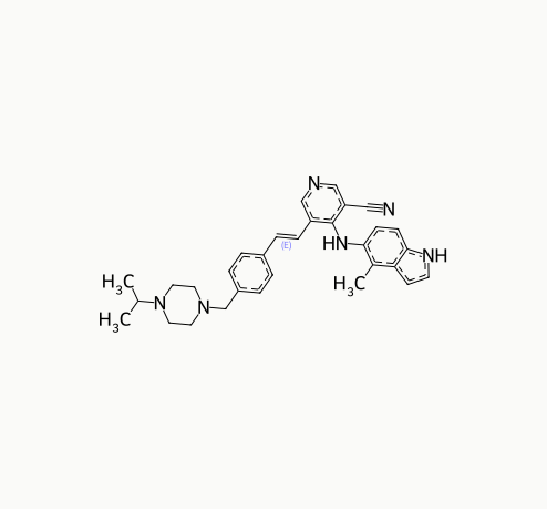 Cc1c(Nc2c(C#N)cncc2/C=C/c2ccc(CN3CCN(C(C)C)CC3)cc2)ccc2[nH]ccc12